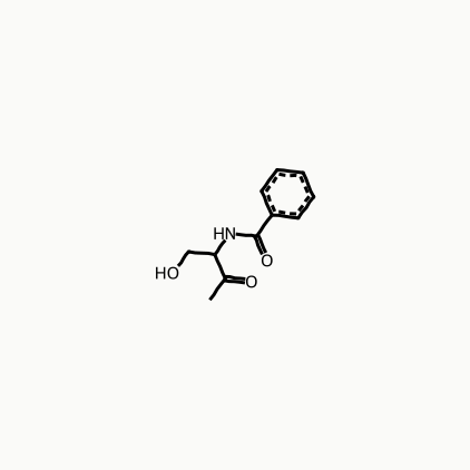 CC(=O)C(CO)NC(=O)c1ccccc1